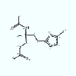 CC(=O)N[C@](C)(CCc1ccc(I)o1)COC(C)=O